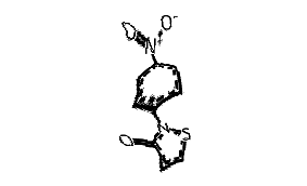 O=c1ccsn1-c1ccc([N+](=O)[O-])cc1